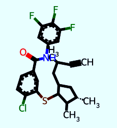 C#CC(C)CC1C[C@H](C)C(C)C1Sc1cc(C(=O)Nc2cc(F)c(F)c(F)c2)ccc1Cl